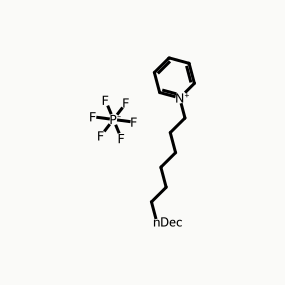 CCCCCCCCCCCCCCCC[n+]1ccccc1.F[P-](F)(F)(F)(F)F